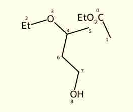 CCOC(C)=O.CCOC(C)CCO